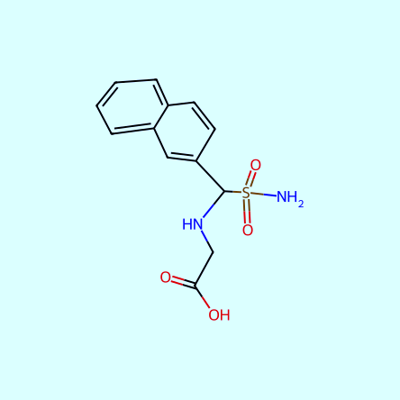 NS(=O)(=O)C(NCC(=O)O)c1ccc2ccccc2c1